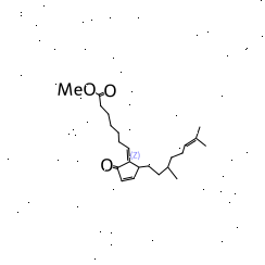 COC(=O)CCCCC/C=C1\C(=O)C=CC1CCC(C)CCC=C(C)C